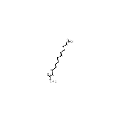 CCCCCCCCCCCCCCCCCCCCC(C)C=O